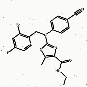 CSNC(=O)c1nc(N(Cc2ccc(F)cc2Br)c2ccc(C#N)cc2)sc1C